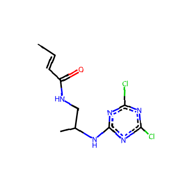 CC=CC(=O)NCC(C)Nc1nc(Cl)nc(Cl)n1